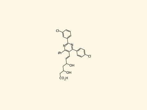 CC(C)c1nc(-c2cccc(Cl)c2)nc(-c2ccc(Cl)cc2)c1/C=C/C(O)CC(O)CC(=O)O